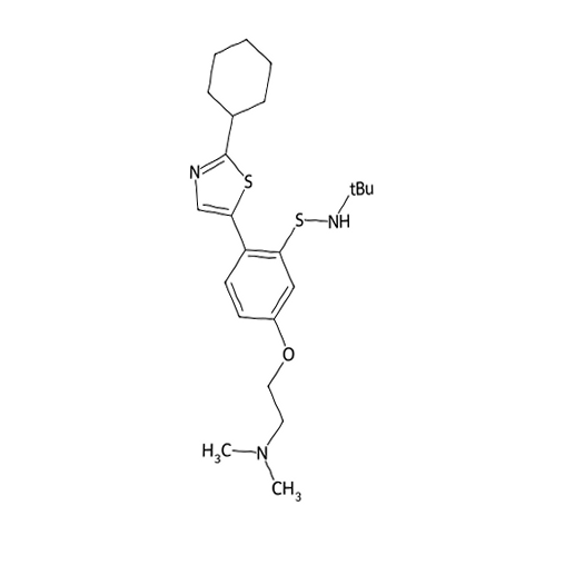 CN(C)CCOc1ccc(-c2cnc(C3CCCCC3)s2)c(SNC(C)(C)C)c1